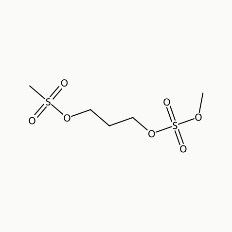 COS(=O)(=O)OCCCOS(C)(=O)=O